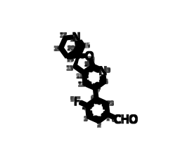 O=Cc1ccc(F)c(-c2cnc3c(c2)C[C@@]2(CN4CCC2CC4)O3)c1